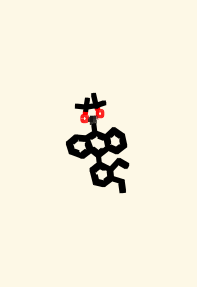 C=Cc1cccc(-c2c3ccccc3c(B3OC(C)(C)C(C)(C)O3)c3ccccc23)c1C=C